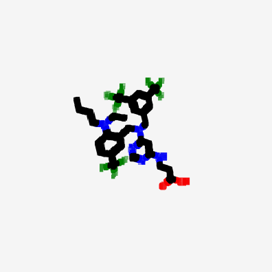 CCCCN(CC)c1ccc(C(F)(F)F)cc1CN(Cc1cc(C(F)(F)F)cc(C(F)(F)F)c1)c1cc(NCCC(=O)O)ncn1